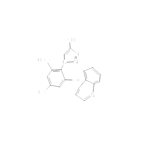 Cc1cc(C)c(-n2cc(C)nn2)c(C)c1.c1ccc2ncccc2c1